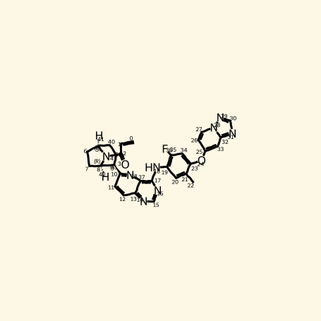 C=CC(=O)N1[C@H]2CC[C@@H]1[C@H](c1ccc3ncnc(Nc4cc(C)c(Oc5ccn6ncnc6c5)cc4F)c3n1)CC2